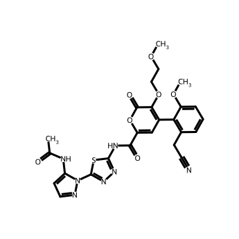 COCCOc1c(-c2c(CC#N)cccc2OC)cc(C(=O)Nc2nnc(-n3nccc3NC(C)=O)s2)oc1=O